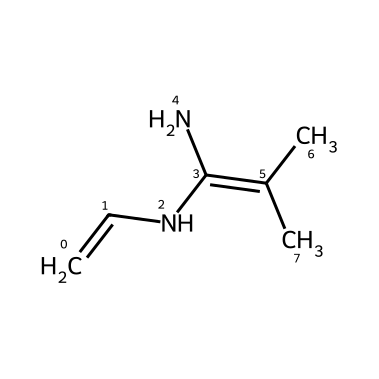 C=CNC(N)=C(C)C